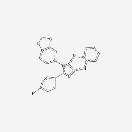 Fc1ccc(-c2nc3nc4ccccc4nc3n2-c2ccc3c(c2)OCO3)cc1